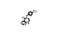 CN1CCN(Cc2ccc(O)cc2)C(=O)c2cncnc21